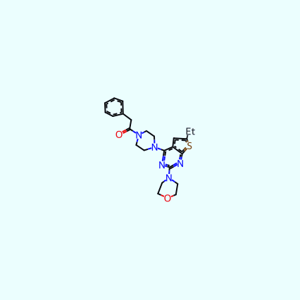 CCc1cc2c(N3CCN(C(=O)Cc4ccccc4)CC3)nc(N3CCOCC3)nc2s1